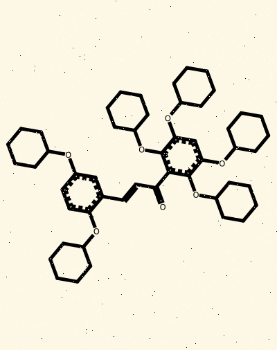 O=C(C=Cc1cc(OC2CCCCC2)ccc1OC1CCCCC1)c1c(OC2CCCCC2)c(OC2CCCCC2)cc(OC2CCCCC2)c1OC1CCCCC1